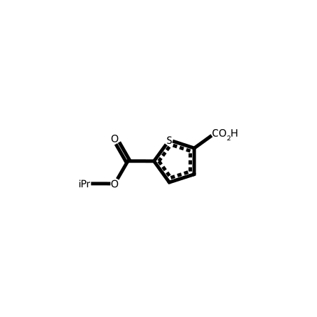 CC(C)OC(=O)c1ccc(C(=O)O)s1